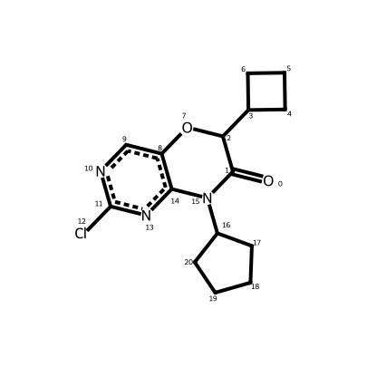 O=C1C(C2CCC2)Oc2cnc(Cl)nc2N1C1CCCC1